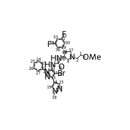 COCCN1C[C@@H](NC(=O)Nc2c(Br)c(-c3cnn(C)c3)nn2-c2ccccc2)[C@H](c2cc(F)cc(F)c2)C1